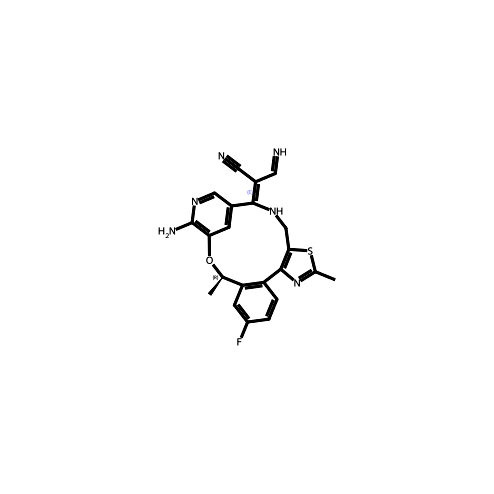 Cc1nc2c(s1)CN/C(=C(/C#N)C=N)c1cnc(N)c(c1)O[C@H](C)c1cc(F)ccc1-2